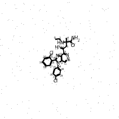 CCNC(C)(CC(=N)c1nncc2c1nc(-c1ccccc1Cl)n2-c1ccc(Cl)cc1)C(N)=O